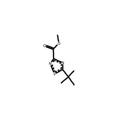 COC(=O)c1nsc(C(C)(C)C)n1